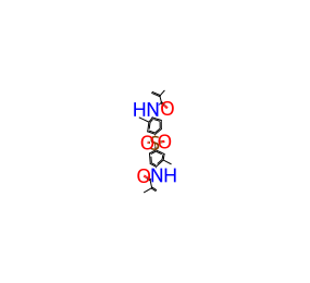 C=C(C)C(=O)Nc1ccc(S(=O)(=O)c2ccc(NC(=O)C(=C)C)c(C)c2)cc1C